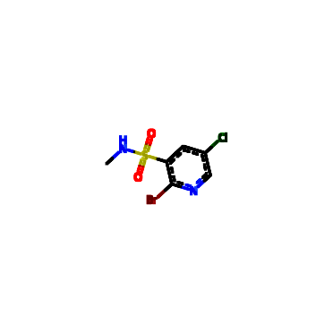 CNS(=O)(=O)c1cc(Cl)cnc1Br